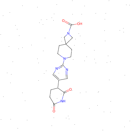 O=C1CCC(c2cnc(N3CCC4(CC3)CN(C(=O)O)C4)nc2)C(=O)N1